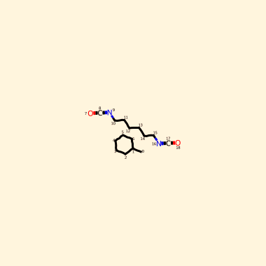 CC1CCCCC1.O=C=NCCCCCCN=C=O